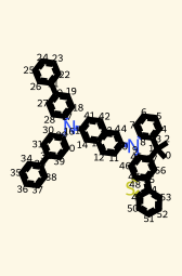 CC1(C)c2ccccc2N(c2ccc3cc(N(c4ccc(-c5ccccc5)cc4)c4ccc(-c5ccccc5)cc4)ccc3c2)c2cc3sc4ccccc4c3cc21